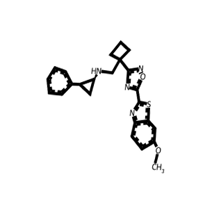 COc1ccc2nc(-c3nc(C4(CN[C@H]5CC5c5ccccc5)CCC4)no3)sc2c1